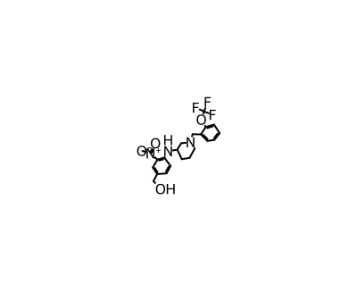 O=[N+]([O-])c1cc(CO)ccc1NC1CCCN(Cc2ccccc2OC(F)(F)F)C1